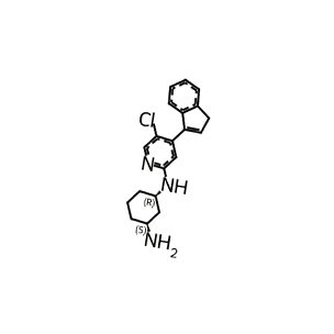 N[C@H]1CCC[C@@H](Nc2cc(C3=CCc4ccccc43)c(Cl)cn2)C1